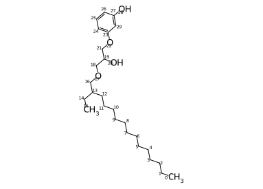 CCCCCCCCCCCCCC(CC)COCC(O)COc1cccc(O)c1